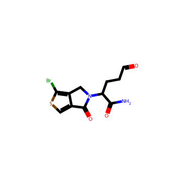 NC(=O)C(CCC=O)N1Cc2c(csc2Br)C1=O